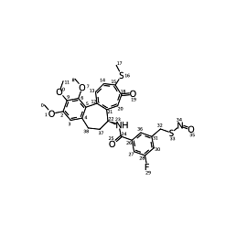 COc1cc2c(c(OC)c1OC)-c1ccc(SC)c(=O)cc1[C@@H](NC(=O)c1cc(F)cc(CSN=O)c1)CC2